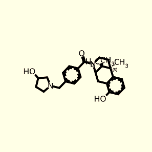 CC1(C)C2Cc3c(O)cccc3[C@]1(C)CCN2C(=O)c1ccc(CN2CCC(O)C2)cc1